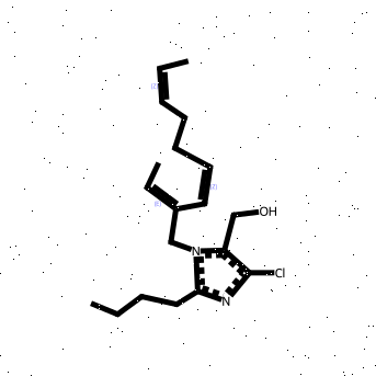 C/C=C\CC/C=C\C(=C/C)Cn1c(CCCC)nc(Cl)c1CO